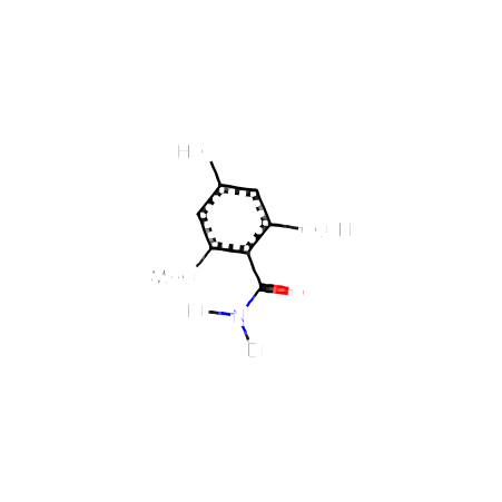 CCN(CC)C(=O)c1c(OC)cc(C)cc1C(=O)O